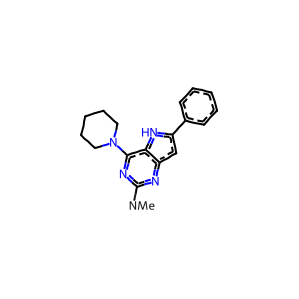 CNc1nc(N2CCCCC2)c2[nH]c(-c3ccccc3)cc2n1